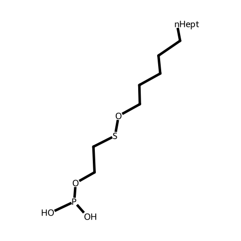 CCCCCCCCCCCCOSCCOP(O)O